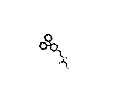 CC(=O)CC(=O)NCCN1CCC(c2ccccc2)(c2ccccc2)CC1